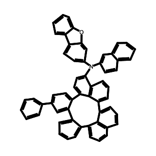 c1ccc(-c2ccc3c(c2)c2ccccc2c2cccc4cccc(c5cccc6c(N(c7ccc8ccccc8c7)c7ccc8c(c7)oc7ccccc78)ccc3c65)c42)cc1